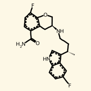 C[C@@H](CCN[C@@H]1COc2c(F)ccc(C(N)=O)c2C1)c1c[nH]c2ccc(F)cc12